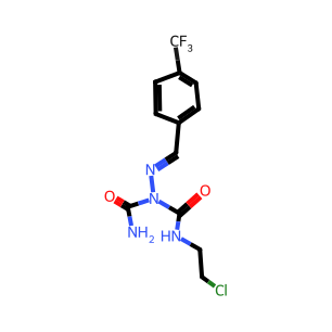 NC(=O)N(N=Cc1ccc(C(F)(F)F)cc1)C(=O)NCCCl